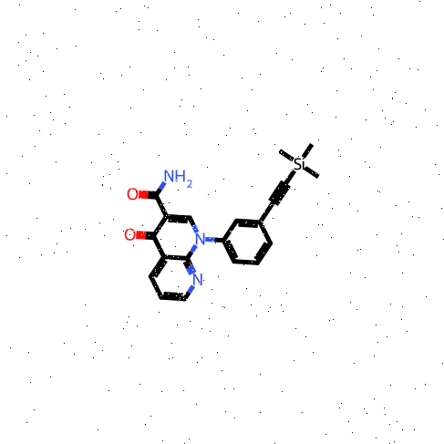 C[Si](C)(C)C#Cc1cccc(-n2cc(C(N)=O)c(=O)c3cccnc32)c1